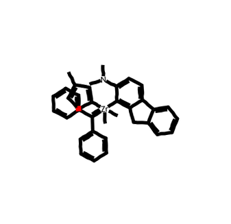 CC1=CC[C]([Zr]([CH3])([CH3])(=[C](c2ccccc2)c2ccccc2)[c]2c(N(C)C)ccc3c2Cc2ccccc2-3)=C1